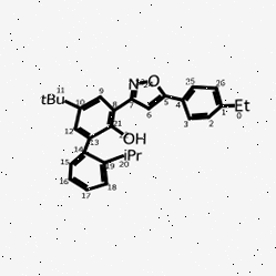 CCc1ccc(-c2cc(-c3cc(C(C)(C)C)cc(-c4ccccc4C(C)C)c3O)no2)cc1